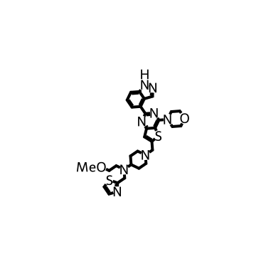 COCCN(Cc1nccs1)C1CCN(Cc2cc3nc(-c4cccc5[nH]ncc45)nc(N4CCOCC4)c3s2)CC1